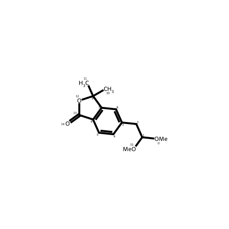 COC(Cc1ccc2c(c1)C(C)(C)OC2=O)OC